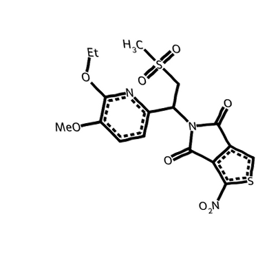 CCOc1nc(C(CS(C)(=O)=O)N2C(=O)c3csc([N+](=O)[O-])c3C2=O)ccc1OC